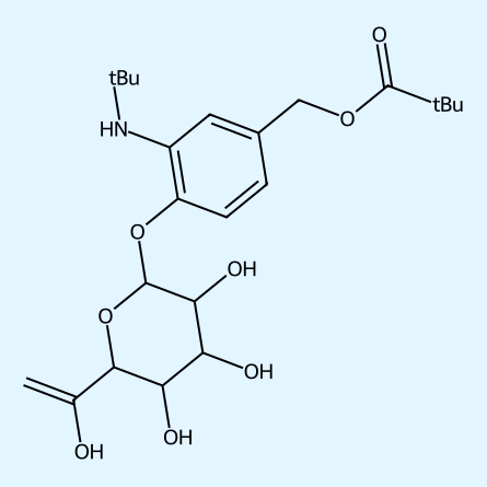 C=C(O)C1OC(Oc2ccc(COC(=O)C(C)(C)C)cc2NC(C)(C)C)C(O)C(O)C1O